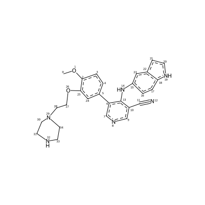 COc1ccc(-c2cncc(C#N)c2Nc2ccc3[nH]ccc3c2)cc1OCCN1CCNCC1